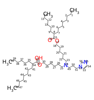 CCCCCCCCC(CCCCCC)C(=O)OCCCCCCN(CCCCCCOC(O)C(CCCCCC)CCCCCCCC)CCCn1ccnc1